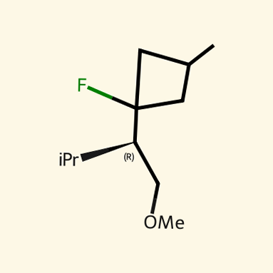 COC[C@@H](C(C)C)C1(F)CC(C)C1